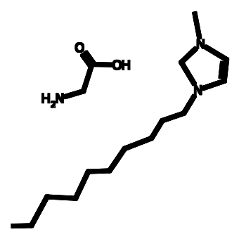 CCCCCCCCCCN1C=CN(C)C1.NCC(=O)O